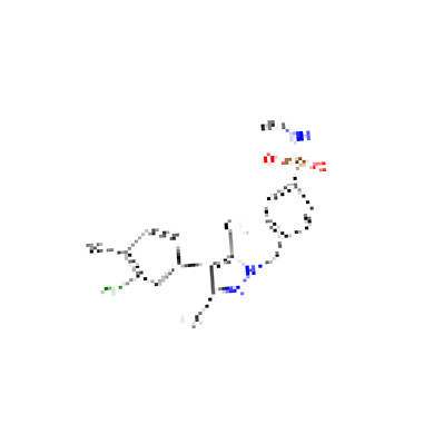 CCCCNS(=O)(=O)c1ccc(Cn2nc(C)c(-c3ccc(C#N)c(Cl)c3)c2C)cc1